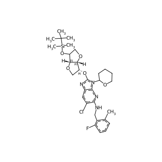 Cc1cccc(F)c1CNc1nc2c(cc1Cl)nc(O[C@@H]1CO[C@@H]3C(O[Si](C)(C)C(C)(C)C)CO[C@@H]31)n2C1CCCCO1